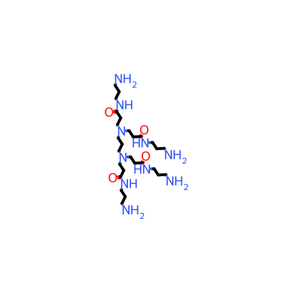 NCCCNC(=O)CCN(CCCN(CCC(=O)NCCCN)CCC(=O)NCCCN)CCC(=O)NCCCN